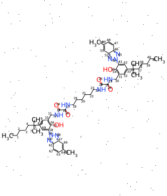 CCCCCC(C)(C)c1cc(CNC(=O)C(=O)NCCCCCCNC(=O)C(=O)NCc2cc(C(C)(C)CCCCC)cc(-n3nc4ccc(C)cc4n3)c2O)c(O)c(-n2nc3ccc(C)cc3n2)c1